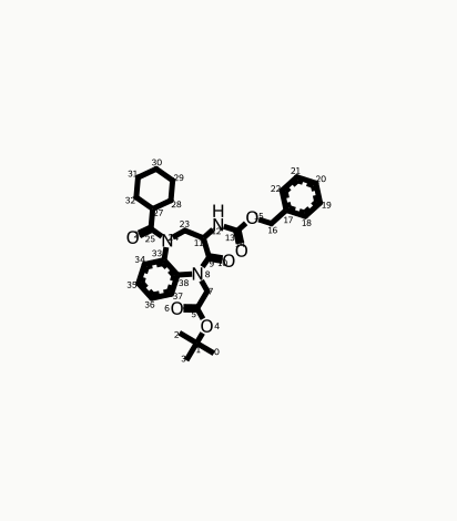 CC(C)(C)OC(=O)CN1C(=O)C(NC(=O)OCc2ccccc2)CN(C(=O)C2CCCCC2)c2ccccc21